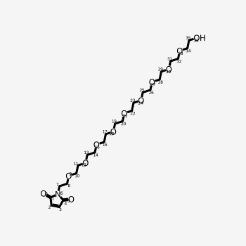 O=C1C=CC(=O)N1CCOCCOCCOCCOCCOCCOCCOCCOCCOCCO